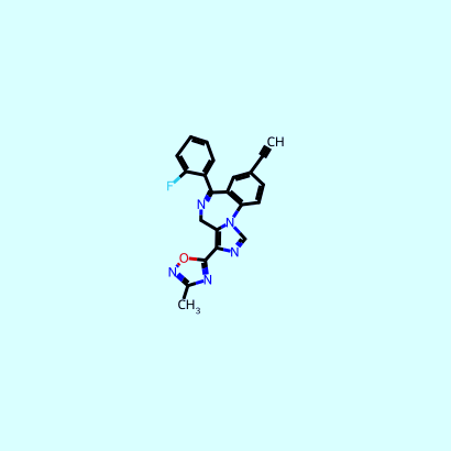 C#Cc1ccc2c(c1)C(c1ccccc1F)=NCc1c(-c3nc(C)no3)ncn1-2